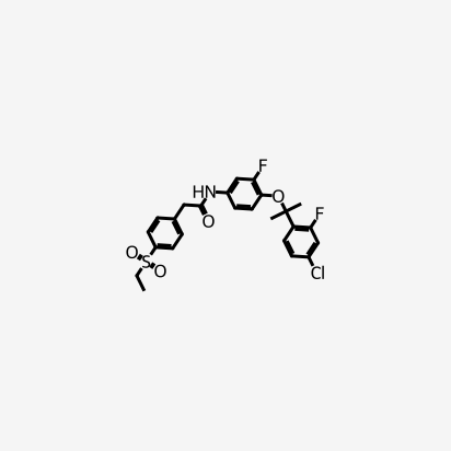 CCS(=O)(=O)c1ccc(CC(=O)Nc2ccc(OC(C)(C)c3ccc(Cl)cc3F)c(F)c2)cc1